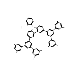 Fc1cc(F)cc(-c2cc(-c3cc(F)cc(F)c3)cc(-c3ccc4c(c3)c3cc(-c5cc(-c6cc(F)cc(F)c6)cc(-c6cc(F)cc(F)c6)c5)ccc3n4-c3ccccc3C(F)(F)F)c2)c1